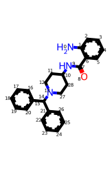 Nc1ccccc1C(=O)NC1CCN(C(c2ccccc2)c2ccccc2)CC1